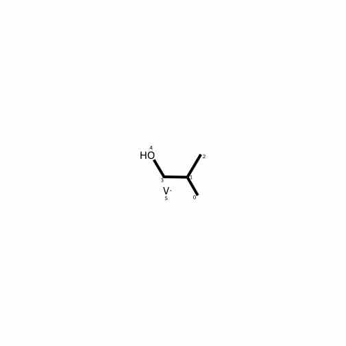 CC(C)CO.[V]